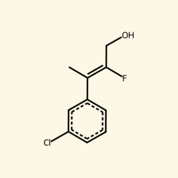 C/C(=C(/F)CO)c1cccc(Cl)c1